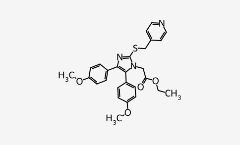 CCOC(=O)Cn1c(SCc2ccncc2)nc(-c2ccc(OC)cc2)c1-c1ccc(OC)cc1